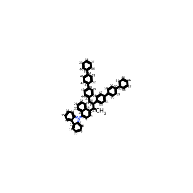 CC(c1ccc(-n2c3ccccc3c3ccccc32)c2ccccc12)C(Cc1ccc(-c2ccc(-c3ccccc3)cc2)cc1)c1ccc(-c2ccc(-c3ccccc3)cc2)cc1